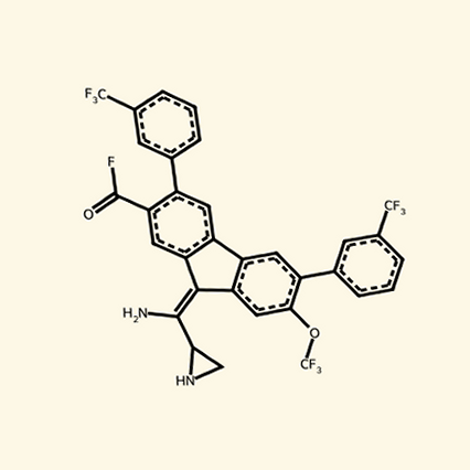 N/C(=C1/c2cc(OC(F)(F)F)c(-c3cccc(C(F)(F)F)c3)cc2-c2cc(-c3cccc(C(F)(F)F)c3)c(C(=O)F)cc21)C1CN1